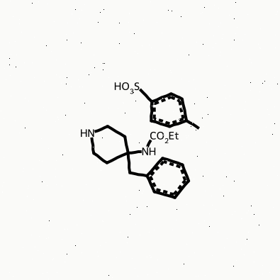 CCOC(=O)NC1(Cc2ccccc2)CCNCC1.Cc1ccc(S(=O)(=O)O)cc1